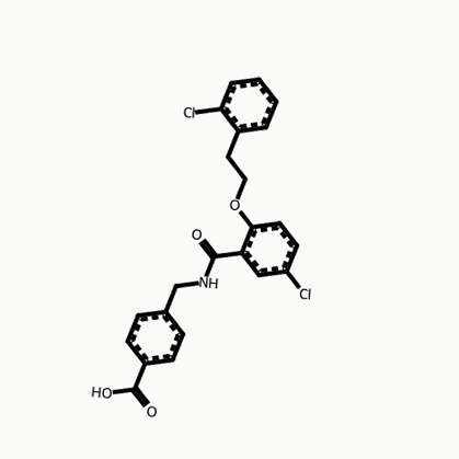 O=C(O)c1ccc(CNC(=O)c2cc(Cl)ccc2OCCc2ccccc2Cl)cc1